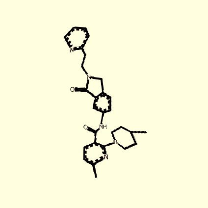 Cc1ccc(C(=O)Nc2ccc3c(c2)C(=O)N(CCc2ccccn2)C3)c(N2CCC(C)CC2)n1